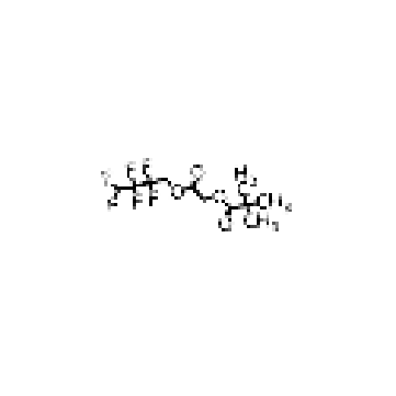 CC(C)(C)C(=O)OCC(=O)OCC(F)(F)C(F)(F)C(F)F